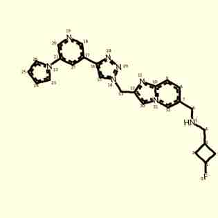 FC1CC(CNCc2ccc3nc(Cn4cc(-c5cncc(-n6cccc6)c5)nn4)cn3c2)C1